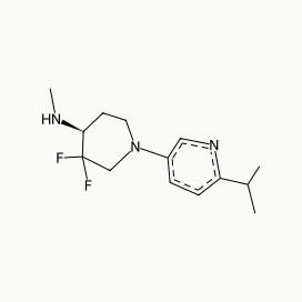 CN[C@H]1CCN(c2ccc(C(C)C)nc2)CC1(F)F